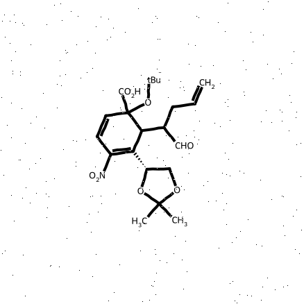 C=CCC(C=O)C1C([C@@H]2COC(C)(C)O2)=C([N+](=O)[O-])C=CC1(OC(C)(C)C)C(=O)O